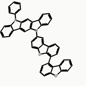 c1ccc(-n2c3ccccc3c3cc4c(cc32)c2ccccc2n4-c2ccc3oc4c(-c5cccc6oc7ccccc7c56)cccc4c3c2)cc1